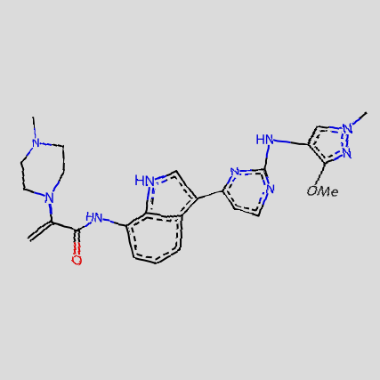 C=C(C(=O)Nc1cccc2c(-c3ccnc(Nc4cn(C)nc4OC)n3)c[nH]c12)N1CCN(C)CC1